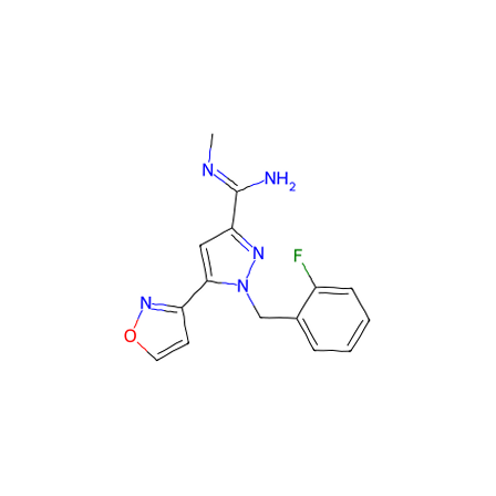 C/N=C(\N)c1cc(-c2ccon2)n(Cc2ccccc2F)n1